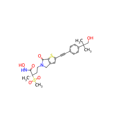 CC(C)(CO)c1ccc(C#Cc2cc3c(s2)C(=O)N(CC[C@](C)(C(=O)NO)S(C)(=O)=O)C3)cc1